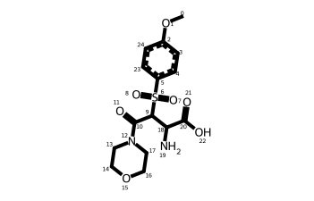 COc1ccc(S(=O)(=O)C(C(=O)N2CCOCC2)C(N)C(=O)O)cc1